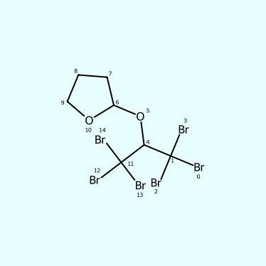 BrC(Br)(Br)C(OC1CCCO1)C(Br)(Br)Br